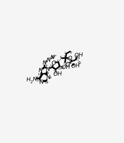 CCC(C)(C[C@H]1OC(n2c(N=[N+]=[N-])nc3c(N)ncnc32)[C@H](O)[C@@H]1O)OP(=O)(O)[C@@H](C)O